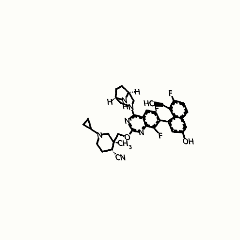 C#Cc1c(F)ccc2cc(O)cc(-c3c(F)cc4c(N5C[C@H]6CC[C@@H](C5)N6)nc(OC[C@]5(C)CN(C6CC6)CC[C@H]5C#N)nc4c3F)c12